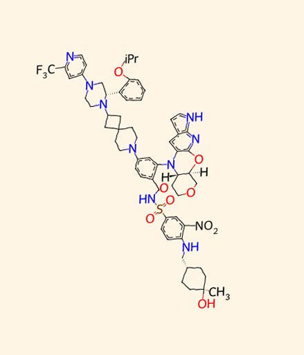 CC(C)Oc1ccccc1[C@H]1CN(c2ccnc(C(F)(F)F)c2)CCN1C1CC2(CCN(c3ccc(C(=O)NS(=O)(=O)c4ccc(NC[C@H]5CC[C@](C)(O)CC5)c([N+](=O)[O-])c4)c(N4c5cc6cc[nH]c6nc5O[C@H]5COCC[C@@H]54)c3)CC2)C1